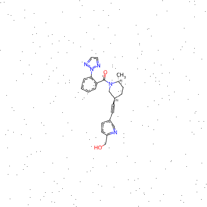 C[C@@H]1CC[C@@H](C#Cc2ccc(CO)nc2)CN1C(=O)c1ccccc1-n1nccn1